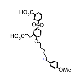 COc1ccc(/C=C/CCCCOc2ccc(S(=O)(=O)c3cccc(C(=O)O)c3)cc2CCC(=O)O)cc1